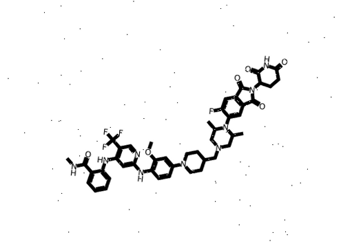 CNC(=O)c1ccccc1Nc1cc(Nc2ccc(N3CCC(CN4CC(C)N(c5cc6c(cc5F)C(=O)N(C5CCC(=O)NC5=O)C6=O)C(C)C4)CC3)cc2OC)ncc1C(F)(F)F